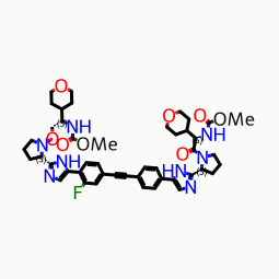 COC(=O)N[C@H](C(=O)N1CCC[C@H]1c1ncc(-c2ccc(C#Cc3ccc(-c4cnc([C@@H]5CCCN5OC[C@@H](NC(=O)OC)C5CCOCC5)[nH]4)c(F)c3)cc2)[nH]1)C1CCOCC1